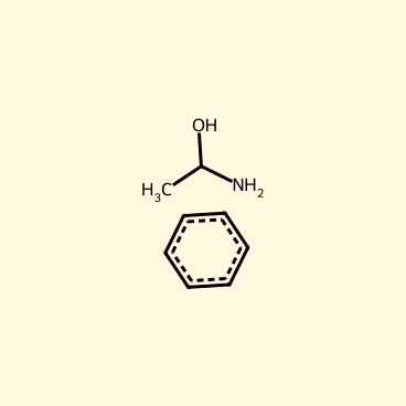 CC(N)O.c1ccccc1